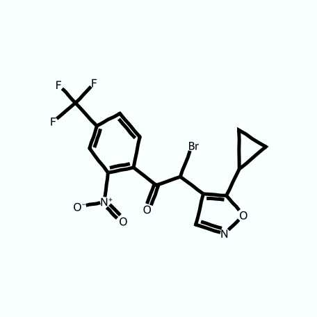 O=C(c1ccc(C(F)(F)F)cc1[N+](=O)[O-])C(Br)c1cnoc1C1CC1